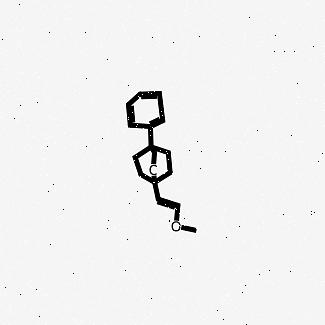 COC=CC12CCC(c3ccccc3)(CC1)CC2